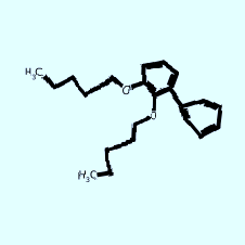 CCCCCOc1cccc(-c2ccccc2)c1OCCCCC